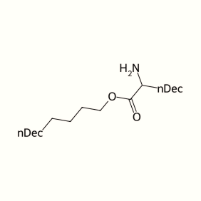 CCCCCCCCCCCCCCOC(=O)C(N)CCCCCCCCCC